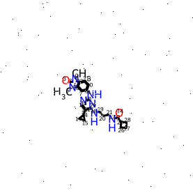 Cn1c(=O)n(C)c2cc(Nc3ncc(C4CC4)c(NCCCNC(=O)C4CCC4)n3)ccc21